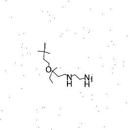 CCC(C)(CCNCCNI)OCCC(C)(C)I